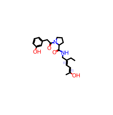 CC/C(=C\C=C(/C)O)CNC(=O)C1CCCN1C(=O)Cc1cccc(O)c1